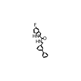 O=C(NCc1cccc(-c2ccccc2)c1)c1cc2cc(F)ccc2[nH]1